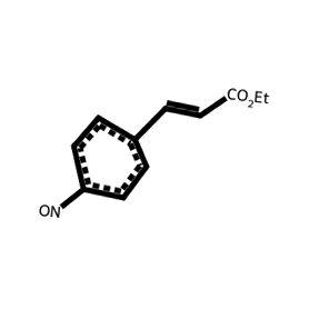 CCOC(=O)/C=C/c1ccc(N=O)cc1